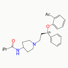 CC(=O)c1ccccc1O[C@H](CCN1CCC(NC(=O)C(C)C)CC1)c1ccccc1